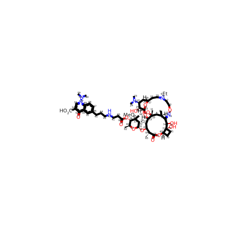 CCN1CCO/N=C2\[C@H](C)C[C@@](C)(O)[C@H](O[C@@H]3O[C@H](CC1)C[C@H](N(C)C)[C@H]3O)[C@@H](C)[C@H](O[C@H]1C[C@@](C)(OC)[C@@H](OC(=O)CCNCCCc3ccc4c(c3)c(=O)c(C(=O)O)cn4N(C)C)[C@H](C)O1)[C@@H](C)C(=O)O[C@@H]1CC[C@]1(O)[C@@H]2O